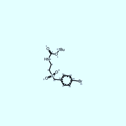 CC(C)(C)OC(=O)NCCS(=O)(=O)Cc1ccc(Br)cc1